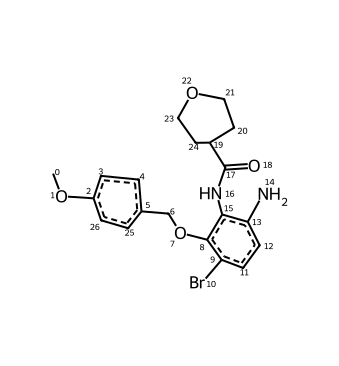 COc1ccc(COc2c(Br)ccc(N)c2NC(=O)C2CCOCC2)cc1